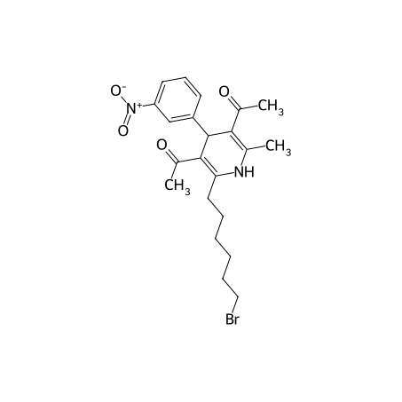 CC(=O)C1=C(C)NC(CCCCCCBr)=C(C(C)=O)C1c1cccc([N+](=O)[O-])c1